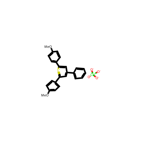 COc1ccc(-c2cc(-c3ccccc3)cc(-c3ccc(OC)cc3)[s+]2)cc1.[O-][Cl+3]([O-])([O-])[O-]